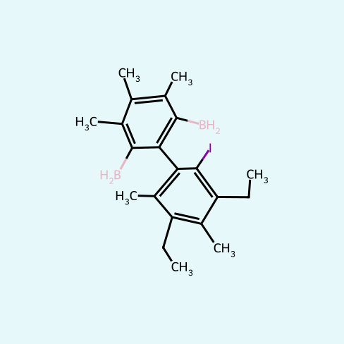 Bc1c(C)c(C)c(C)c(B)c1-c1c(C)c(CC)c(C)c(CC)c1I